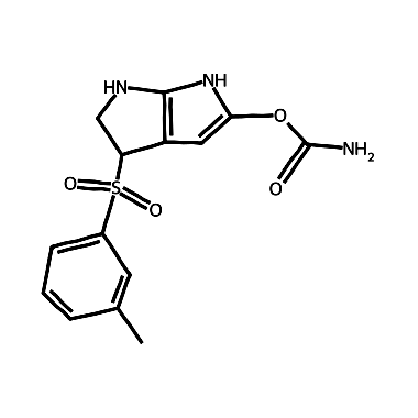 Cc1cccc(S(=O)(=O)C2CNc3[nH]c(OC(N)=O)cc32)c1